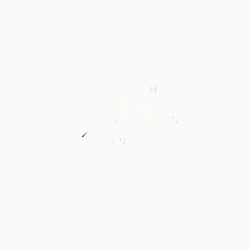 O=C(NC1CCc2cccc3c2N(C1=O)[C@H](C(=O)O)C3)[C@@H](CS)Cc1ccccc1